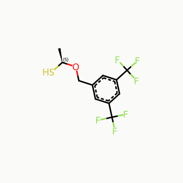 C[C@H](S)OCc1cc(C(F)(F)F)cc(C(F)(F)F)c1